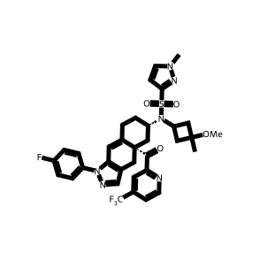 COC1(C)CC(N([C@H]2CCC3=Cc4c(cnn4-c4ccc(F)cc4)C[C@]3(C(=O)c3cc(C(F)(F)F)ccn3)C2)S(=O)(=O)c2ccn(C)n2)C1